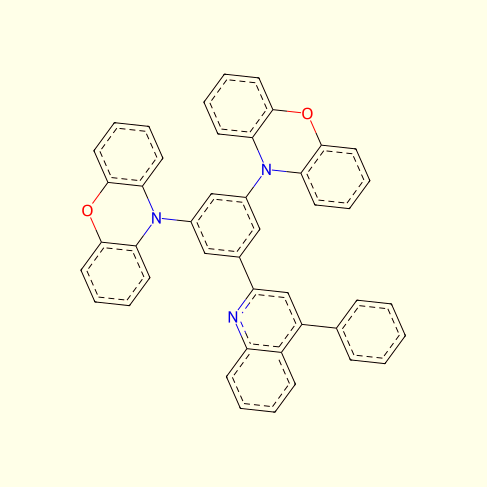 c1ccc(-c2cc(-c3cc(N4c5ccccc5Oc5ccccc54)cc(N4c5ccccc5Oc5ccccc54)c3)nc3ccccc23)cc1